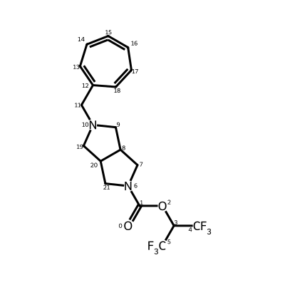 O=C(OC(C(F)(F)F)C(F)(F)F)N1CC2CN(CC3=CC=C=CC=C3)CC2C1